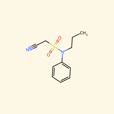 CCCN(c1ccccc1)S(=O)(=O)CC#N